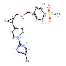 CCc1cnc(N2CCC([C@H]3C[C@H]3COCC3=CC(F)C(S(C)(=O)=O)C(F)=C3)CC2)nc1